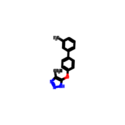 O=C(O)c1nn[nH]c1Oc1ccc(-c2cccc(C(F)(F)F)c2)cc1